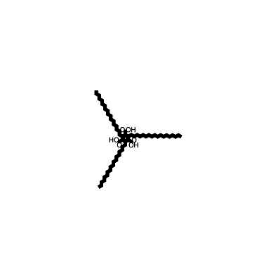 CCCCCCCCCCCCCCCCCCc1c(C(=O)O)c(CCCCCCCCCCCCCCCCCC)c(C(=O)O)c(CCCCCCCCCCCCCCCCCC)c1C(=O)O